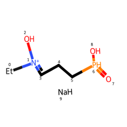 CC[N+](O)=CCC[PH](=O)O.[NaH]